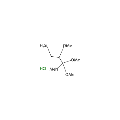 CNC(OC)(OC)C(C[SiH3])OC.Cl